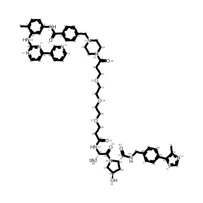 Cc1ccc(NC(=O)c2ccc(CN3CCN(C(=O)CCOCCOCCOCCC(=O)N[C@H](C(=O)N4C[C@H](O)C[C@H]4C(=O)NCc4ccc(-c5scnc5C)cc4)C(C)(C)C)CC3)cc2)cc1Nc1nccc(-c2cccnc2)n1